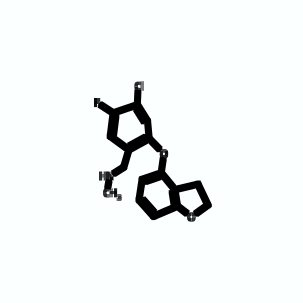 CNCc1cc(F)c(Cl)cc1Oc1cccc2c1CCO2